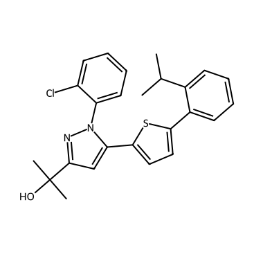 CC(C)c1ccccc1-c1ccc(-c2cc(C(C)(C)O)nn2-c2ccccc2Cl)s1